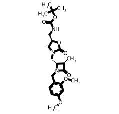 COc1ccc(CN2C(=O)[C@@H](C)[C@H]2CN2C[C@@H](CNC(=O)OC(C)(C)C)OC2=O)c(OC)c1